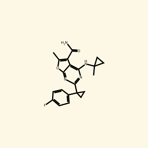 Cc1oc2nc(C3(c4ccc(F)cc4)CC3)nc(NC3(C)CC3)c2c1C(N)=O